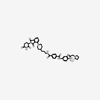 C[C@H]1CCCN1Cc1nc2cc(NC(=O)c3ccc(C(=O)NCCCC4CCN(c5cccc6c5C(=O)N(C5CCC(=O)NC5=O)C6=O)CC4)cc3)ccc2[nH]1